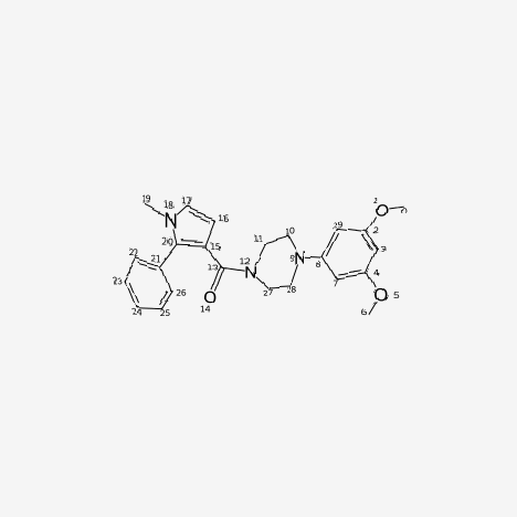 COc1cc(OC)cc(N2CCN(C(=O)c3ccn(C)c3-c3ccccc3)CC2)c1